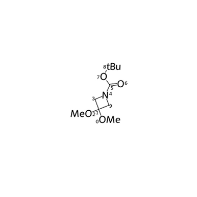 COC1(OC)CN(C(=O)OC(C)(C)C)C1